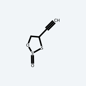 C#CC1COS(=O)S1